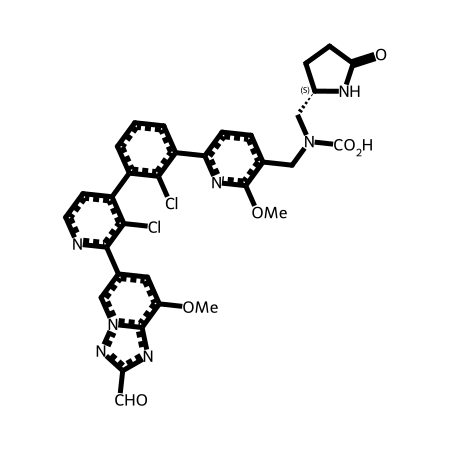 COc1nc(-c2cccc(-c3ccnc(-c4cc(OC)c5nc(C=O)nn5c4)c3Cl)c2Cl)ccc1CN(C[C@@H]1CCC(=O)N1)C(=O)O